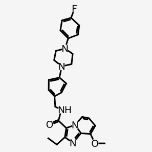 CCc1nc2c(OC)cccn2c1C(=O)NCc1ccc(N2CCN(c3ccc(F)cc3)CC2)cc1